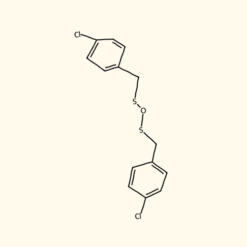 Clc1ccc(CSOSCc2ccc(Cl)cc2)cc1